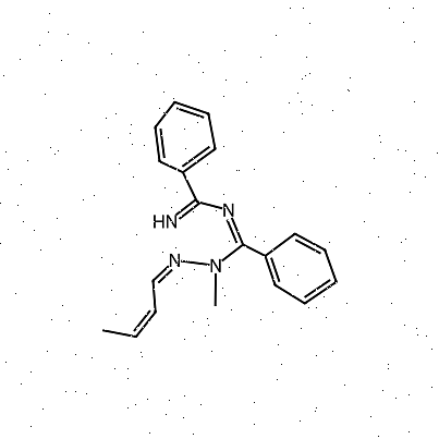 C/C=C\C=N/N(C)/C(=N\C(=N)c1ccccc1)c1ccccc1